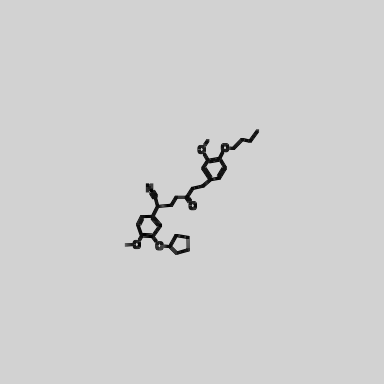 CCCCOc1ccc(CCC(=O)CCC(C#N)c2ccc(OC)c(OC3CCCC3)c2)cc1OC